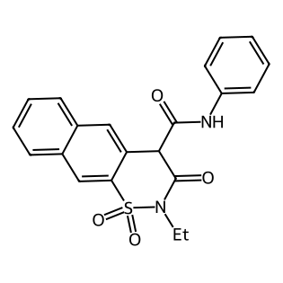 CCN1C(=O)C(C(=O)Nc2ccccc2)c2cc3ccccc3cc2S1(=O)=O